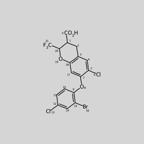 O=C(O)C1Cc2cc(Cl)c(Oc3ccc(Cl)cc3Br)cc2OC1C(F)(F)F